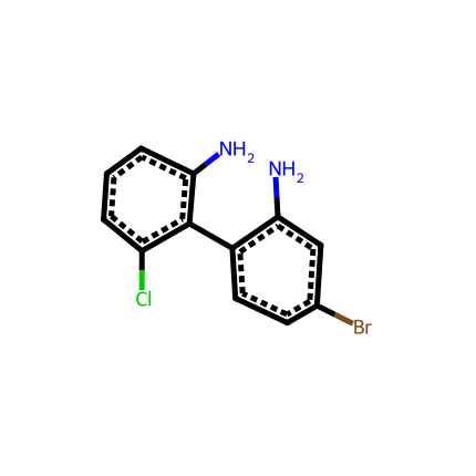 Nc1cc(Br)ccc1-c1c(N)cccc1Cl